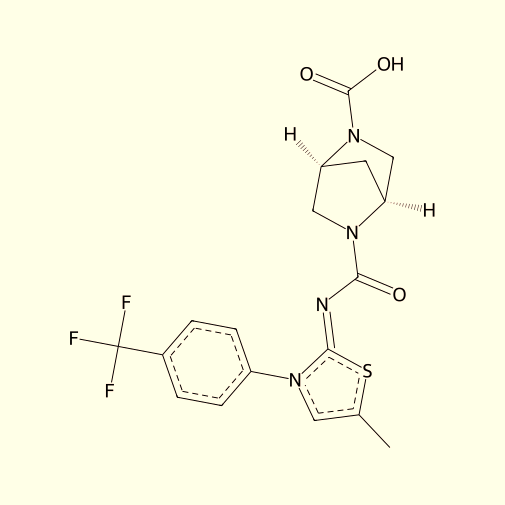 Cc1cn(-c2ccc(C(F)(F)F)cc2)/c(=N/C(=O)N2C[C@@H]3C[C@H]2CN3C(=O)O)s1